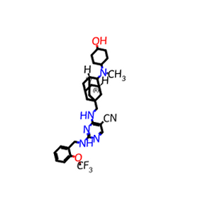 CN(C1CCC(O)CC1)C1[C@@H]2CC3C[C@H]1CC(CNc1nc(NCc4ccccc4OC(F)(F)F)ncc1C#N)(C3)C2